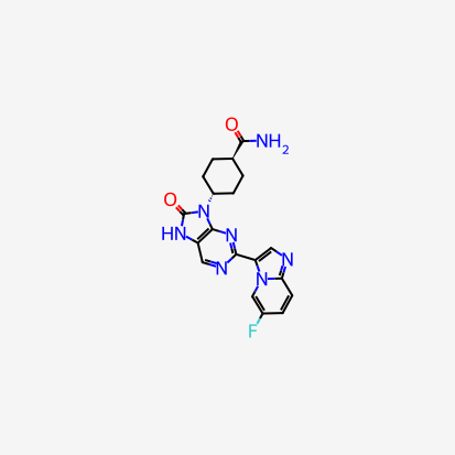 NC(=O)[C@H]1CC[C@H](n2c(=O)[nH]c3cnc(-c4cnc5ccc(F)cn45)nc32)CC1